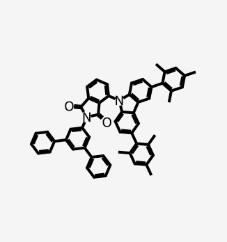 Cc1cc(C)c(-c2ccc3c(c2)c2cc(-c4c(C)cc(C)cc4C)ccc2n3-c2cccc3c2C(=O)N(c2cc(-c4ccccc4)cc(-c4ccccc4)c2)C3=O)c(C)c1